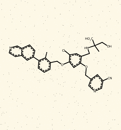 Cc1c(COc2cc(OCc3cncc(C#N)c3)c(CNC(C)(CO)C(=O)O)cc2Cl)cccc1-c1ccc2cnccc2c1